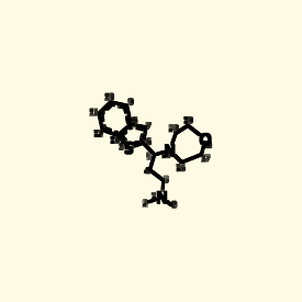 CN(C)CCC(c1cc2ccccc2s1)N1CCOCC1